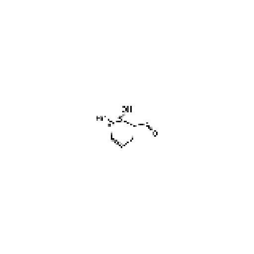 O=CC1CC=C[C@@H](O)[C@@H]1O